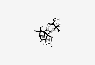 C[C@@H]1[C@@H](N)CC2C[C@@H]1C2(C)C.O=C(O)C(F)(F)F